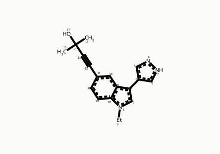 CCn1cc(-c2cn[nH]c2)c2cc(C#CC(C)(C)O)ccc21